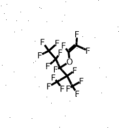 FC(F)=C(F)OC(F)(C(F)(F)C(F)(F)F)C(F)(C(F)(F)F)C(F)(F)F